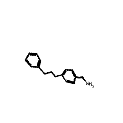 NCc1ccc(CCCc2ccccc2)cc1